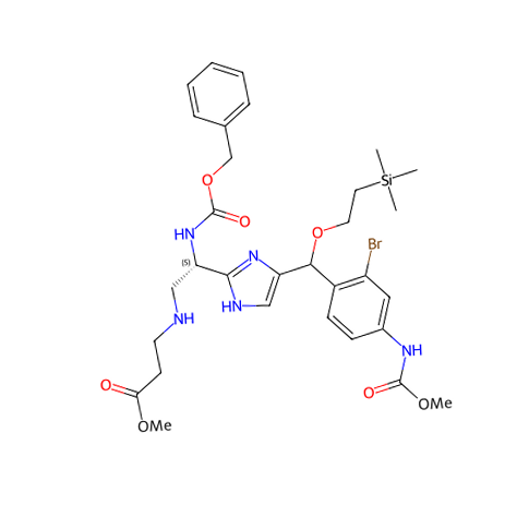 COC(=O)CCNC[C@H](NC(=O)OCc1ccccc1)c1nc(C(OCC[Si](C)(C)C)c2ccc(NC(=O)OC)cc2Br)c[nH]1